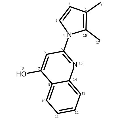 Cc1ccn(-c2cc(O)c3ccccc3n2)c1C